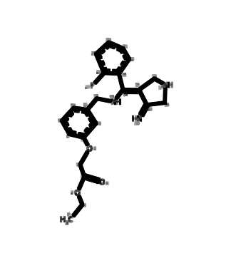 CCOC(=O)COc1cccc(CN/C(=C2/CNCC2=N)c2ccccc2F)c1